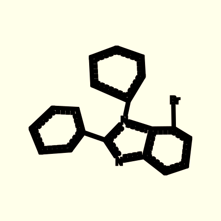 Brc1cccc2nc(-c3ccccc3)n(-c3ccccc3)c12